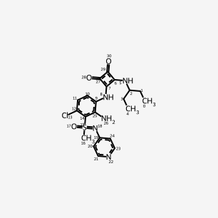 CCC(CC)Nc1c(Nc2ccc(Cl)c(S(C)(=O)=Nc3ccncc3)c2N)c(=O)c1=O